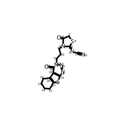 N#C/N=C1\SCC(=O)N1CCCn1nnc2sc3c(c2c1=O)CCCC3